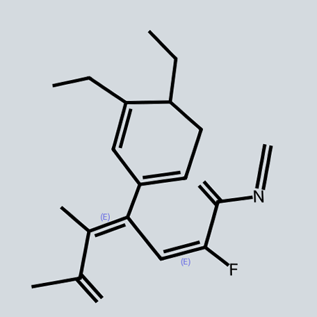 C=NC(=C)/C(F)=C\C(C1=CCC(CC)C(CC)=C1)=C(\C)C(=C)C